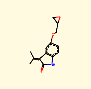 CC(C)=C1C(=O)Nc2ccc(OCC3CO3)cc21